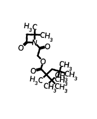 CC(C)(C)CC(C)(C(=O)OCC(=O)N1C(=O)CC1(C)C)C(C)(C)C